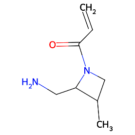 C=CC(=O)N1CC(C)C1CN